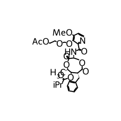 COc1ccnc(C(=O)N[C@H]2COC(=O)[C@H](Cc3ccccc3)[C@@H](OC(=O)C(C)C)[C@H](C)OC2=O)c1OCOCCOC(C)=O